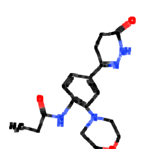 CCC(=O)Nc1ccc(C2=NNC(=O)CC2)cc1N1CCOCC1